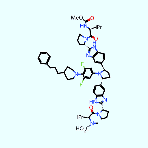 COC(=O)N[C@H](C(=O)N1CCC[C@H]1c1nc2cc([C@H]3CC[C@H](c4ccc5[nH]c([C@@H]6CCCN6C(=O)[C@H](C(C)C)N(C)C(=O)O)nc5c4)N3c3cc(F)c(N4CCC(CCCc5ccccc5)CC4)c(F)c3)ccc2[nH]1)C(C)C